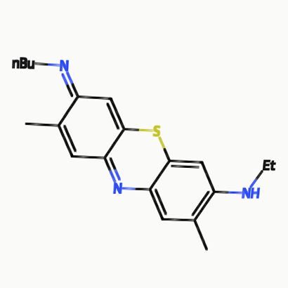 CCCC/N=c1/cc2sc3cc(NCC)c(C)cc3nc-2cc1C